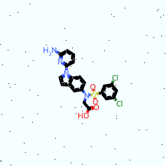 Nc1cccc(-n2ccc3cc(N(CC(=O)O)S(=O)(=O)c4cc(Cl)cc(Cl)c4)ccc32)n1